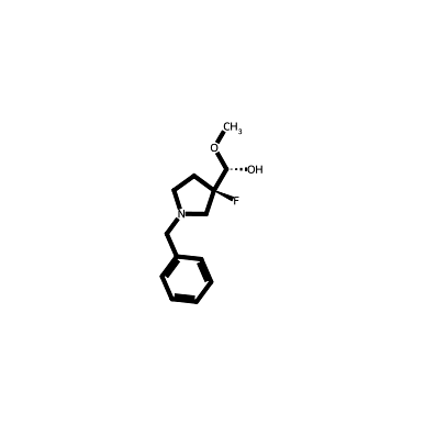 CO[C@H](O)[C@@]1(F)CCN(Cc2ccccc2)C1